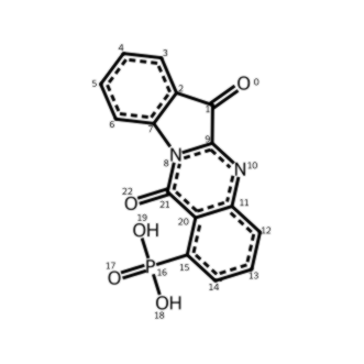 O=C1c2ccccc2-n2c1nc1cc[c]c(P(=O)(O)O)c1c2=O